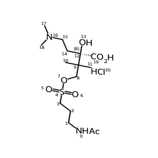 CC(=O)NCCCS(=O)(=O)OCC(C)(C)[C@](O)(CCN(C)C)C(=O)O.Cl